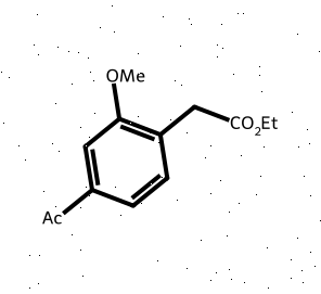 CCOC(=O)Cc1ccc(C(C)=O)cc1OC